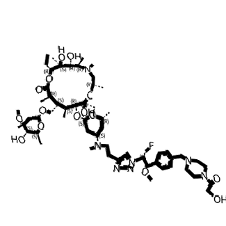 CC[C@H]1OC(=O)[C@H](C)[C@@H](CO[C@H]2C[C@@](C)(OC)[C@@H](O)[C@H](C)O2)[C@H](C)[C@@H](O[C@H]2C[C@@H](N(C)CCc3cn([C@H](CF)[C@H](OC)c4ccc(CN5CCN(C(=O)CO)CC5)cc4)nn3)C[C@@H](C)O2)[C@](C)(O)C[C@@H](C)CN(C)[C@H](C)[C@@H](O)[C@]1(C)O